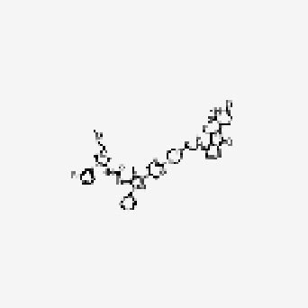 COCCN1C[C@@H](NC(=O)Nc2c(C)c(-c3cnc(N4CCN(C(=O)CNc5cccc6c5C(=O)N(C5CCC(=O)NC5=O)C6=O)CC4)nc3)nn2-c2ccccc2)[C@H](c2cccc(F)c2)C1